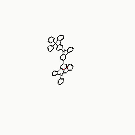 c1ccc(N(c2cc3ccccc3s2)c2ccccc2-c2cccc(-c3ccc4c(c3)c3ccccc3n4-c3ccc4c(c3)-c3ccccc3C4(c3ccccc3)c3ccccc3)c2)cc1